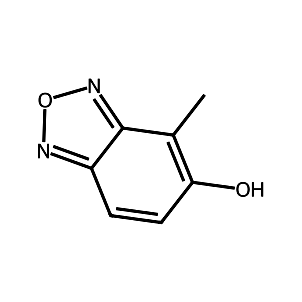 Cc1c(O)ccc2nonc12